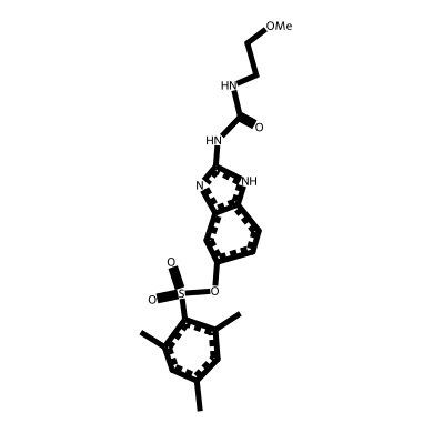 COCCNC(=O)Nc1nc2cc(OS(=O)(=O)c3c(C)cc(C)cc3C)ccc2[nH]1